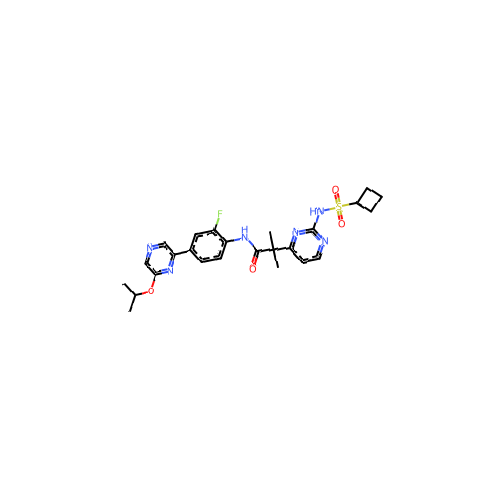 CC(C)Oc1cncc(-c2ccc(NC(=O)C(C)(C)c3ccnc(NS(=O)(=O)C4CCC4)n3)c(F)c2)n1